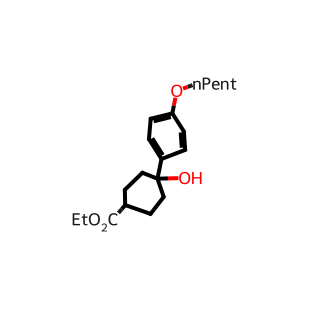 CCCCCOc1ccc(C2(O)CCC(C(=O)OCC)CC2)cc1